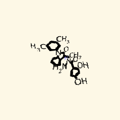 C/C(=C1\C(=O)N(c2cc(C)cc(C)c2)c2ccccc21)N(N)C(=O)c1ccc(O)cc1O